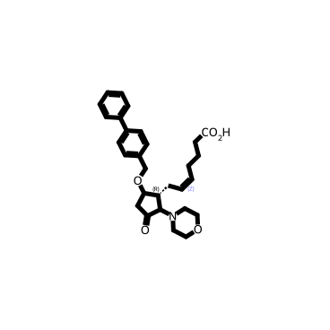 O=C(O)CCC/C=C\C[C@H]1C(OCc2ccc(-c3ccccc3)cc2)CC(=O)C1N1CCOCC1